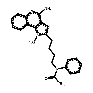 CCCCn1c(CCCCN(C(N)=O)c2ccccc2)nc2c(N)nc3ccccc3c21